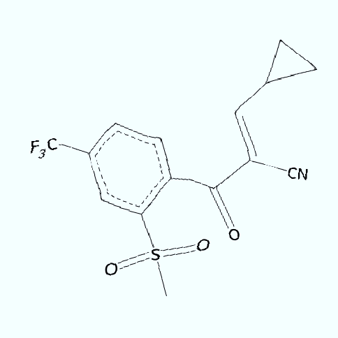 CS(=O)(=O)c1cc(C(F)(F)F)ccc1C(=O)C(C#N)=CC1CC1